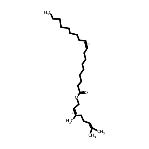 CCCCCCCC/C=C\CCCCCCCC(=O)OC/C=C(/C)CCC=C(C)C